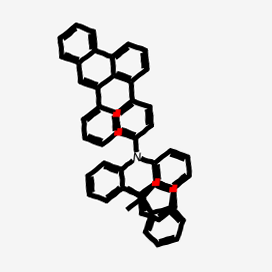 CC1(C)c2ccccc2-c2cccc(N(c3ccc(-c4cccc5c4c(-c4ccccc4)cc4ccccc45)cc3)c3ccccc3-c3ccccc3)c21